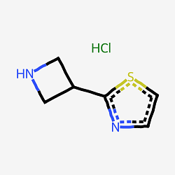 Cl.c1csc(C2CNC2)n1